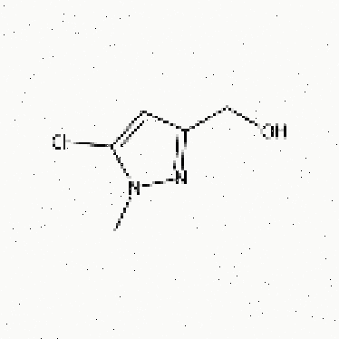 Cn1nc(CO)cc1Cl